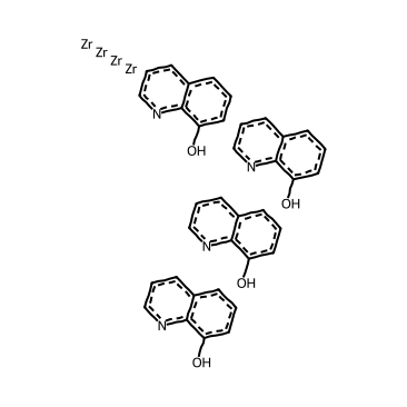 Oc1cccc2cccnc12.Oc1cccc2cccnc12.Oc1cccc2cccnc12.Oc1cccc2cccnc12.[Zr].[Zr].[Zr].[Zr]